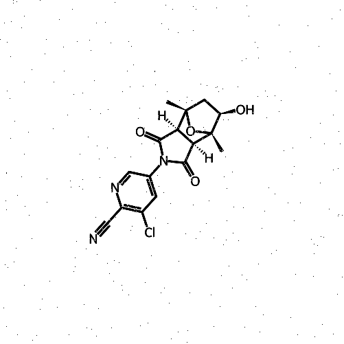 C[C@@]12O[C@@](C)(C[C@H]1O)[C@@H]1C(=O)N(c3cnc(C#N)c(Cl)c3)C(=O)[C@@H]12